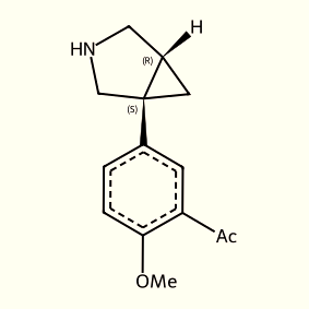 COc1ccc([C@@]23CNC[C@@H]2C3)cc1C(C)=O